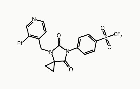 CCc1cnccc1CN1C(=O)N(c2ccc(S(=O)(=O)C(F)(F)F)cc2)C(=O)C12CC2